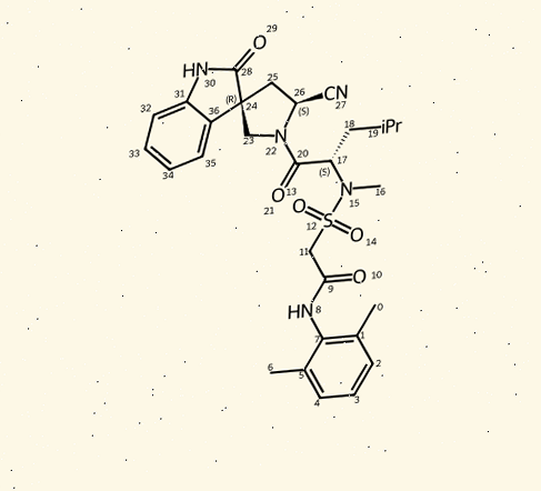 Cc1cccc(C)c1NC(=O)CS(=O)(=O)N(C)[C@@H](CC(C)C)C(=O)N1C[C@]2(C[C@H]1C#N)C(=O)Nc1ccccc12